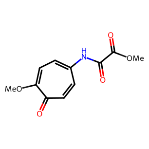 COC(=O)C(=O)Nc1ccc(OC)c(=O)cc1